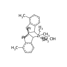 Cc1cccc2c1C=C(C(C)C)[CH]2[Zr]([CH3])([CH3])(=[SiH2])[CH]1C(C(C)C)=Cc2c(C)cccc21.Cl.Cl